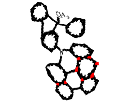 CC1(c2ccccc2)c2ccccc2-c2ccc(N(c3ccccc3-c3cccc4cccc(-c5ccccc5)c34)c3cccc4ccccc34)cc21